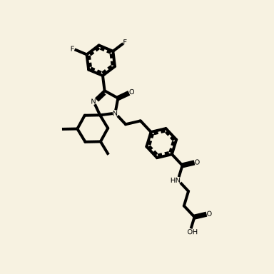 CC1CC(C)CC2(C1)N=C(c1cc(F)cc(F)c1)C(=O)N2CCc1ccc(C(=O)NCCC(=O)O)cc1